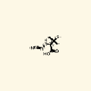 CC(C)(S)[C@H](NN=[N+]=[N-])C(=O)O